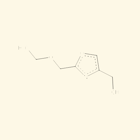 CCOCc1nc(CC)co1